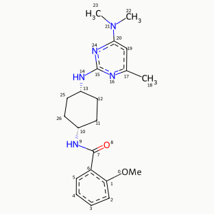 COc1ccccc1C(=O)N[C@H]1CC[C@@H](Nc2nc(C)cc(N(C)C)n2)CC1